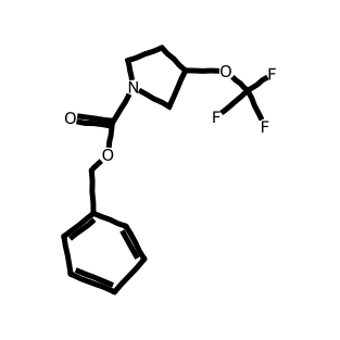 O=C(OCc1ccccc1)N1CCC(OC(F)(F)F)C1